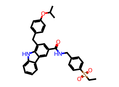 CCS(=O)(=O)c1ccc(CNC(=O)c2cc(Cc3ccc(OC(C)C)cc3)c3[nH]c4ccccc4c3c2)cc1